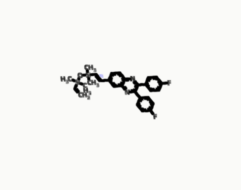 C=C[Si](C)(C)O[Si](C)(C)/C=C/c1ccc2nc(-c3ccc(F)cc3)c(-c3ccc(F)cc3)nc2c1